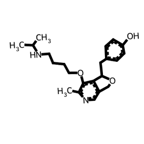 Cc1ncc2c(c1OCCCCNC(C)C)C(Cc1ccc(O)cc1)OC2